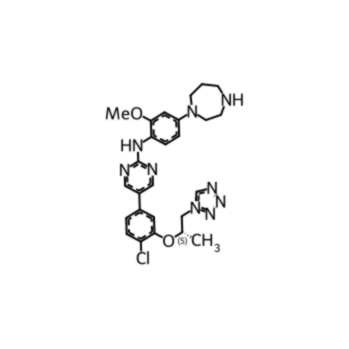 COc1cc(N2CCCNCC2)ccc1Nc1ncc(-c2ccc(Cl)c(O[C@@H](C)Cn3cnnn3)c2)cn1